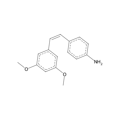 COc1cc(/C=C\c2ccc(N)cc2)cc(OC)c1